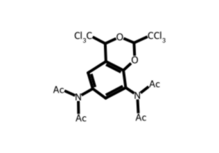 CC(=O)N(C(C)=O)c1cc2c(c(N(C(C)=O)C(C)=O)c1)OC(C(Cl)(Cl)Cl)OC2C(Cl)(Cl)Cl